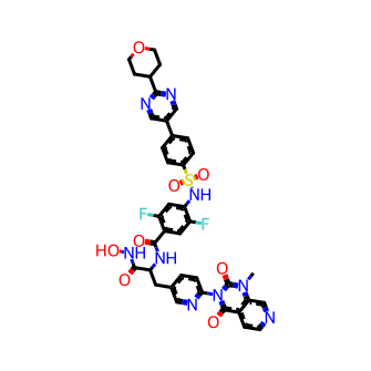 Cn1c(=O)n(-c2ccc(CC(NC(=O)c3cc(F)c(NS(=O)(=O)c4ccc(-c5cnc(C6CCOCC6)nc5)cc4)cc3F)C(=O)NO)cn2)c(=O)c2ccncc21